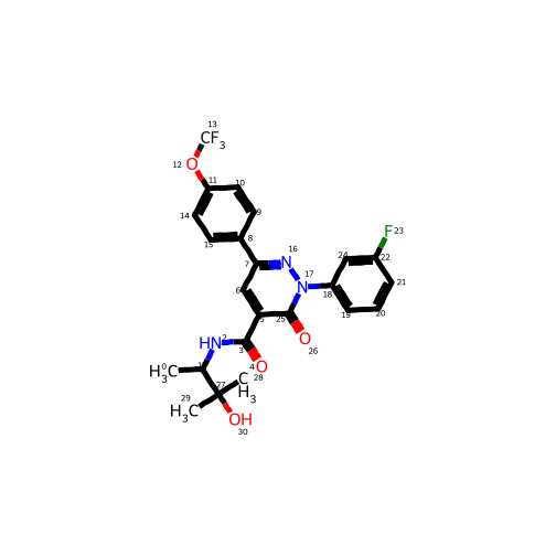 CC(NC(=O)c1cc(-c2ccc(OC(F)(F)F)cc2)nn(-c2cccc(F)c2)c1=O)C(C)(C)O